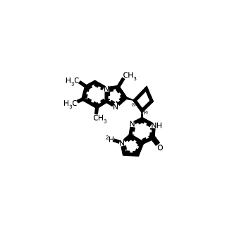 [2H]n1ccc2c(=O)[nH]c([C@@H]3CC[C@@H]3c3nc4c(C)c(C)c(C)cn4c3C)nc21